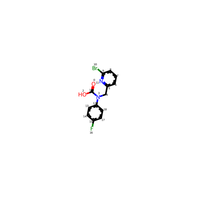 O=C(O)N(Cc1cccc(Br)n1)c1ccc(F)cc1